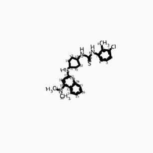 Cc1c(Cl)cccc1NC(=S)NC1CCC(Nc2cc(N(C)C)c3ccccc3n2)CC1